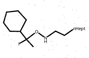 CCCCCCCCCNOC(C)(I)C1CCCCC1